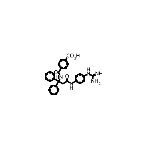 N=C(N)Nc1ccc(NC(=O)CC(NC(=O)c2ccc(C(=O)O)cc2)(c2ccccc2)c2ccccc2)cc1